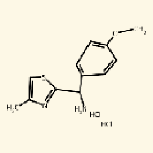 COc1ccc(C(N)c2nc(C)cs2)cc1.Cl.Cl